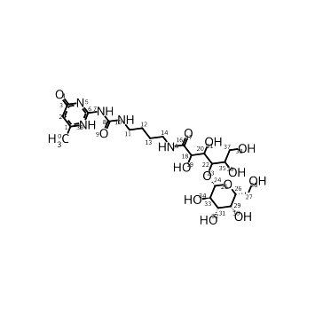 Cc1cc(=O)nc(NC(=O)NCCCCNC(=O)C(O)C(O)C(O[C@@H]2O[C@H](CO)[C@H](O)[C@H](O)[C@H]2O)C(O)CO)[nH]1